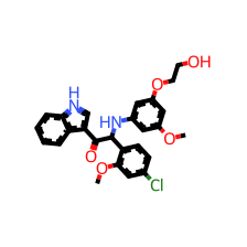 COc1cc(NC(C(=O)c2c[nH]c3ccccc23)c2ccc(Cl)cc2OC)cc(OCCO)c1